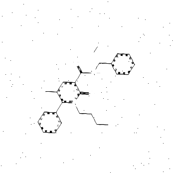 CCCCn1c(-c2ccccc2)c(C)cc(C(=O)N[C@H](CCl)c2ccccc2)c1=O